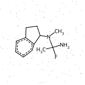 CN(C1CCc2ccccc21)C(C)(N)F